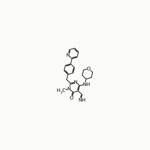 Cn1c(Cc2ccc(-c3ccccn3)cc2)nc(NC2CCOCC2)c(C=N)c1=O